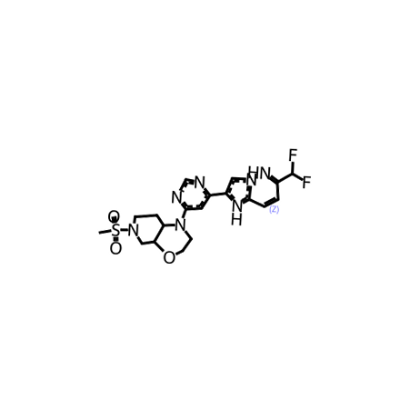 CS(=O)(=O)N1CCC2C(C1)OCCN2c1cc(-c2cnc(/C=C\C(=N)C(F)F)[nH]2)ncn1